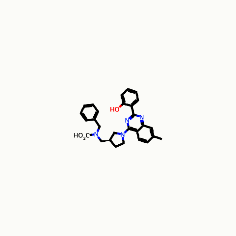 Cc1ccc2c(N3CC[C@@H](CN(Cc4ccccc4)C(=O)O)C3)nc(-c3ccccc3O)nc2c1